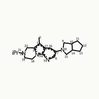 Cc1c2n(c3ncc(N4CC5CCCC5C4)cc13)CCN(C(C)C)C2